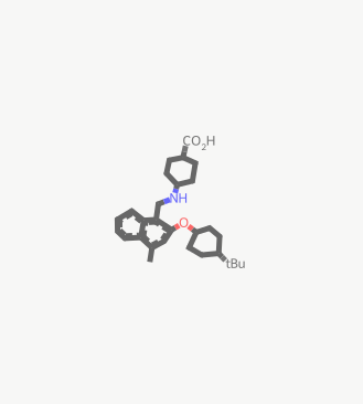 Cc1cc(OC2CCC(C(C)(C)C)CC2)c(CNC2CCC(C(=O)O)CC2)c2ccccc12